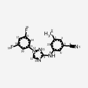 Cc1cc(C#N)cc(Nc2ncn(-c3cc(F)cc(F)c3)n2)c1